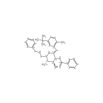 Cc1ccc(C(C)(C)C)cc1S[C@@H]1OC(COCc2ccccc2)[C@@H](C)[C@H](O)C1OC(=O)c1ccccc1